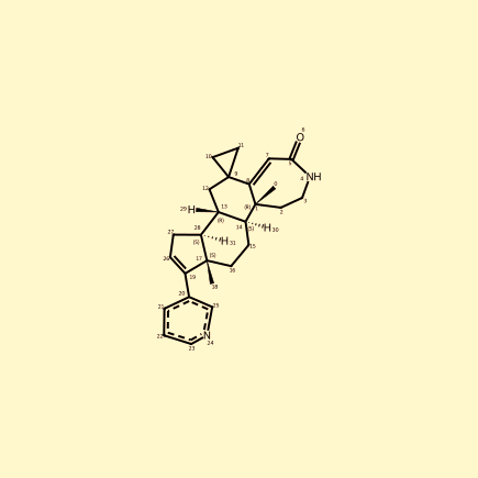 C[C@]12CCNC(=O)C=C1C1(CC1)C[C@@H]1[C@@H]2CC[C@]2(C)C(c3cccnc3)=CC[C@@H]12